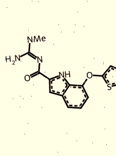 CNC(N)=NC(=O)c1cc2cccc(Oc3cccs3)c2[nH]1